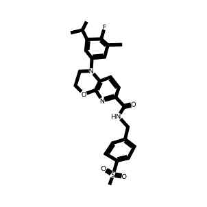 Cc1cc(N2CCOc3nc(C(=O)NCc4ccc(S(C)(=O)=O)cc4)ccc32)cc(C(C)C)c1F